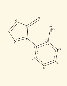 C=C1C=CC=C1c1ccccc1C(C)C